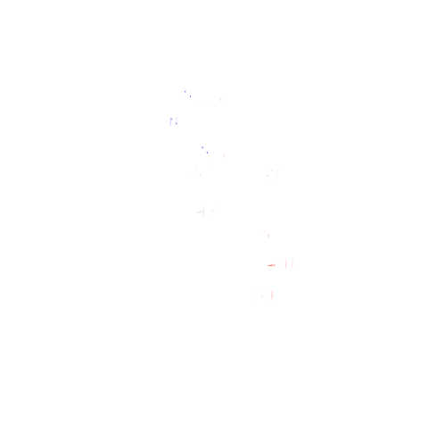 Cc1cc(OC[C@@H](O)CO)cc(C)c1C=CS(=O)(=O)N1CCC2(CC1)N=C(C1CCCCC1)NC2=O